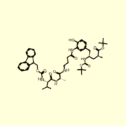 CC(C)[C@H](NC(=O)OCC1c2ccccc2-c2ccccc21)C(=O)N[C@@H](C)C(=O)NCCCC(=O)Nc1cc(C[C@@H](C[C@H](C)C(=O)OC(C)(C)C)NC(=O)OC(C)(C)C)ccc1O